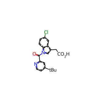 CC(C)(C)c1ccnc(C(=O)n2cc(CC(=O)O)c3cc(Cl)ccc32)c1